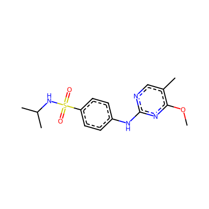 COc1nc(Nc2ccc(S(=O)(=O)NC(C)C)cc2)ncc1C